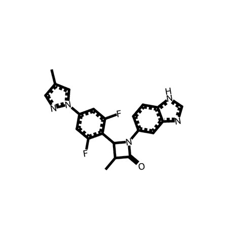 Cc1cnn(-c2cc(F)c(C3C(C)C(=O)N3c3ccc4[nH]cnc4c3)c(F)c2)c1